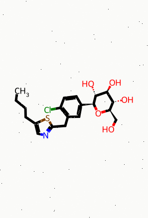 CCCCc1cnc(Cc2cc([C@@H]3O[C@H](CO)[C@@H](O)[C@H](O)[C@H]3O)ccc2Cl)s1